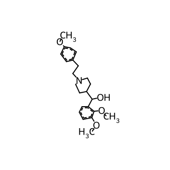 COc1ccc(CCN2CCC(C(O)c3cccc(OC)c3OC)CC2)cc1